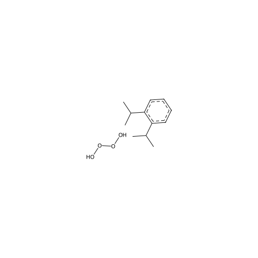 CC(C)c1ccccc1C(C)C.OOOO